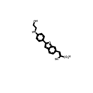 N#C/C(=C\c1ccc2cc(-c3ccc(NCCO)cc3)oc2c1)C(=O)O